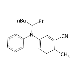 CCCCC(CC)N(C1=CCC(C)C(C#N)=C1)c1ccccc1